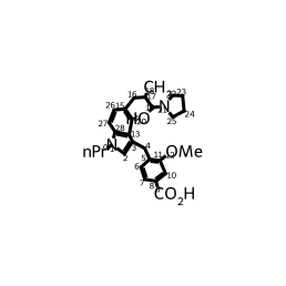 CCCn1cc(Cc2ccc(C(=O)O)cc2OC)c2cc(CC(C)C(O)N3CCCC3)ccc21